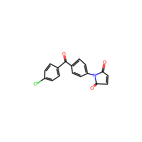 O=C(c1ccc(Cl)cc1)c1ccc(N2C(=O)C=CC2=O)cc1